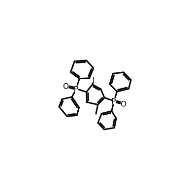 Cc1cc(P(=O)(c2ccccc2)c2ccccc2)c(I)cc1P(=O)(c1ccccc1)c1ccccc1